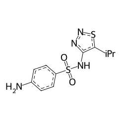 CC(C)c1snnc1NS(=O)(=O)c1ccc(N)cc1